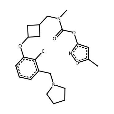 Cc1cc(OC(=O)N(C)CC2CC(Oc3cccc(CN4CCCC4)c3Cl)C2)no1